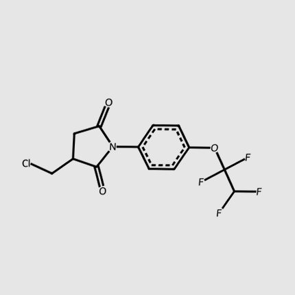 O=C1CC(CCl)C(=O)N1c1ccc(OC(F)(F)C(F)F)cc1